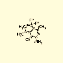 Cc1cc(N)c(Cl)c(C(C)C)c1C(F)(F)F